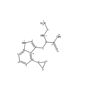 NCNC(Cc1c[nH]c2cccc(C3CC3)c12)C(=O)O